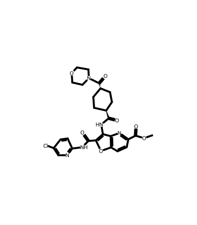 COC(=O)c1ccc2oc(C(=O)Nc3ccc(Cl)cn3)c(NC(=O)[C@H]3CC[C@H](C(=O)N4CCOCC4)CC3)c2n1